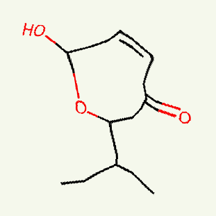 CC(C)C1OC(O)C=CC1=O